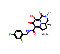 CCN1C[C@@H]2C[C@H](NC(C)=O)c3c(C(=O)NCc4ccc(F)cc4F)c(=O)c(O)c(n32)C1=O